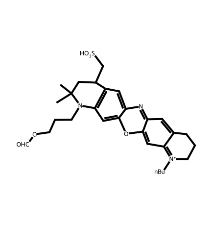 CCCC[N+]1=c2cc3c(cc2CCC1)=Nc1cc2c(cc1O3)N(CCCOC=O)C(C)(C)CC2CS(=O)(=O)O